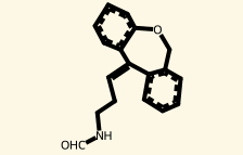 O=CNCC/C=C1\c2ccccc2COc2ccccc21